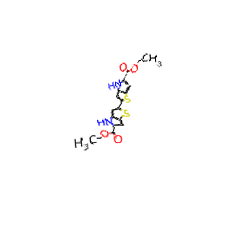 CCOC(=O)c1cc2sc(-c3cc4[nH]c(C(=O)OCC)cc4s3)cc2[nH]1